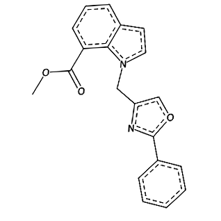 COC(=O)c1cccc2ccn(Cc3coc(-c4ccccc4)n3)c12